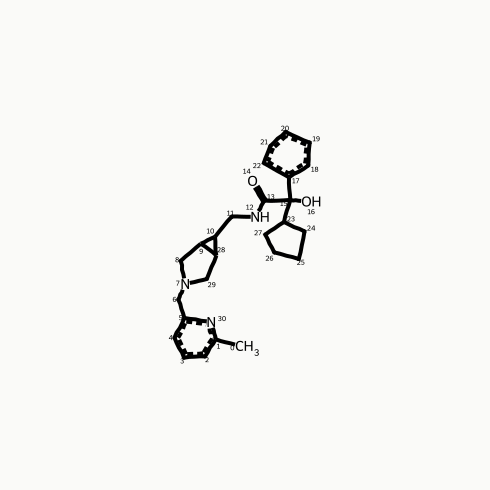 Cc1cccc(CN2CC3C(CNC(=O)C(O)(c4ccccc4)C4CCCC4)C3C2)n1